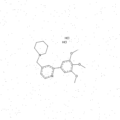 COc1cc(-c2cc(CN3CCCCC3)ccn2)cc(OC)c1OC.Cl.Cl